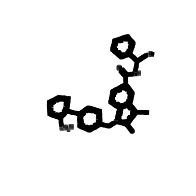 CCCC(NC(=O)c1ccc2c(c1)c(C)c(C)n2Cc1ccc(-c2ccccc2C(=O)O)cc1)c1ccccc1